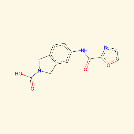 O=C(Nc1ccc2c(c1)CN(C(=O)O)C2)c1ncco1